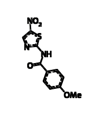 COc1ccc(C(=O)Nc2ncc([N+](=O)[O-])s2)cc1